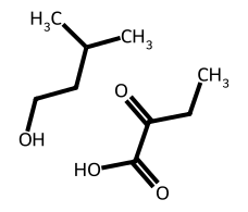 CC(C)CCO.CCC(=O)C(=O)O